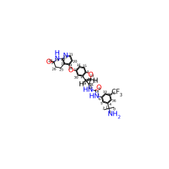 CC(C)(N)c1cc(NC(=O)N[C@@H]2[C@H]3Oc4ccc(Oc5ccnc6c5CCC(=O)N6)cc4[C@@H]23)cc(C(F)(F)F)c1